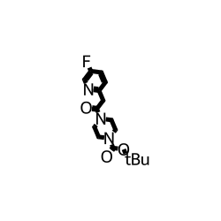 CC(C)(C)OC(=O)N1CCN(C(=O)Cc2ccc(F)cn2)CC1